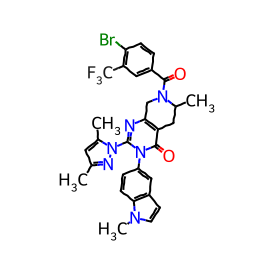 Cc1cc(C)n(-c2nc3c(c(=O)n2-c2ccc4c(ccn4C)c2)CC(C)N(C(=O)c2ccc(Br)c(C(F)(F)F)c2)C3)n1